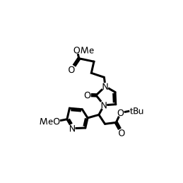 COC(=O)CCCn1ccn(C(CC(=O)OC(C)(C)C)c2ccc(OC)nc2)c1=O